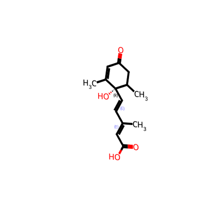 CC1=CC(=O)CC(C)[C@@]1(O)/C=C/C(C)=C/C(=O)O